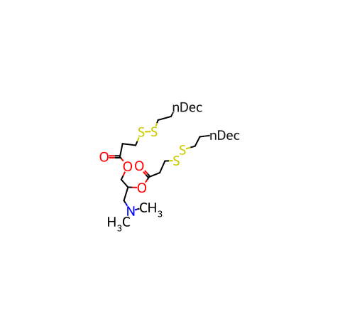 CCCCCCCCCCCCSSCCC(=O)OCC(CN(C)C)OC(=O)CCSSCCCCCCCCCCCC